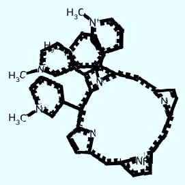 C[n+]1cccc(-c2c(-c3ccc[n+](C)c3)c3c(-c4ccc[n+](C)c4)c4nc(cc5ccc(cc6nc(cc2n3-c2ccc[n+](C)c2)C=C6)[nH]5)C=C4)c1